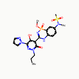 CCOP1(=O)N=C(c2c(O)c(-n3cccn3)nn(CCC(C)(C)C)c2=O)Nc2ccc(N(C(C)=O)S(C)(=O)=O)cc21